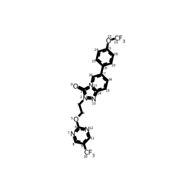 O=c1n(CCOc2ncc(C(F)(F)F)cn2)nc2ccc(-c3ccc(OC(F)(F)F)cc3)cn12